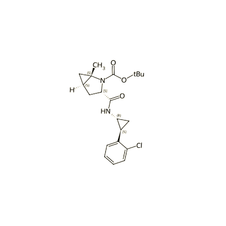 CC(C)(C)OC(=O)N1[C@H](C(=O)N[C@@H]2C[C@H]2c2ccccc2Cl)C[C@H]2C[C@@]21C